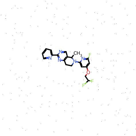 CC1c2cnc(-c3ccccn3)nc2CCN1c1cc(OCC(F)F)cc(F)n1